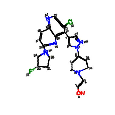 OCCN1CCC(n2cc(-c3c(Cl)cnc4ccc(N5CC[C@H](F)C5)nc34)cn2)CC1